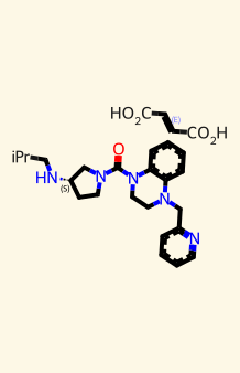 CC(C)CN[C@H]1CCN(C(=O)N2CCN(Cc3ccccn3)c3ccccc32)C1.O=C(O)/C=C/C(=O)O